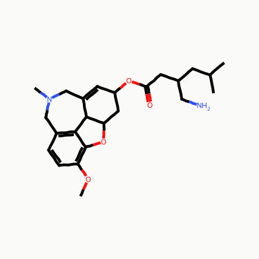 COc1ccc2c3c1OC1CC(OC(=O)CC(CN)CC(C)C)C=C(CN(C)C2)C31